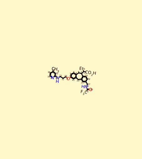 CCC(C(=O)O)C1Cc2ccc(OCCCNc3cc(C)ccn3)cc2Cc2cc(CNC(=O)C(F)(F)F)ccc21